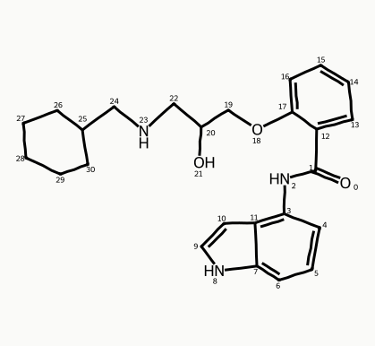 O=C(Nc1cccc2[nH]ccc12)c1ccccc1OCC(O)CNCC1CCCCC1